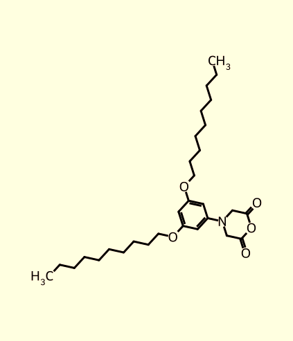 CCCCCCCCCCOc1cc(OCCCCCCCCCC)cc(N2CC(=O)OC(=O)C2)c1